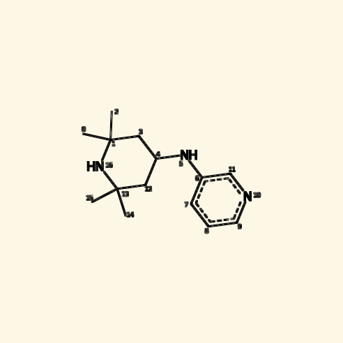 CC1(C)CC(Nc2cccnc2)CC(C)(C)N1